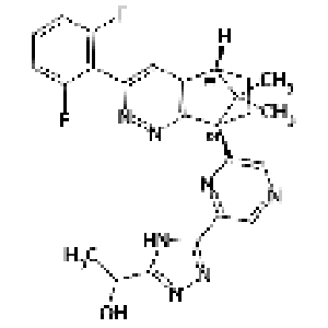 CC(O)c1nnc(-c2cncc([C@@]34CC[C@@H](c5cc(-c6c(F)cccc6F)nnc53)C4(C)C)n2)[nH]1